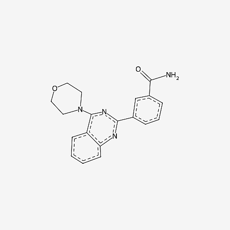 NC(=O)c1cccc(-c2nc(N3CCOCC3)c3ccccc3n2)c1